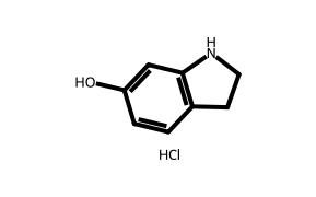 Cl.Oc1ccc2c(c1)NCC2